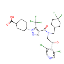 O=C(CN(CC1CCC(F)(F)CC1)C(=O)c1cnn([C@H]2CC[C@H](C(=O)O)CC2)c1C(F)(F)F)c1c(Cl)cncc1Cl